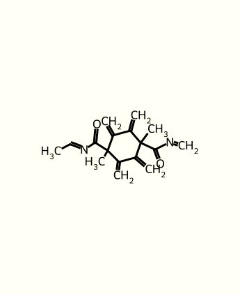 C=NC(=O)C1(C)C(=C)C(=C)C(C)(C(=O)N=CC)C(=C)C1=C